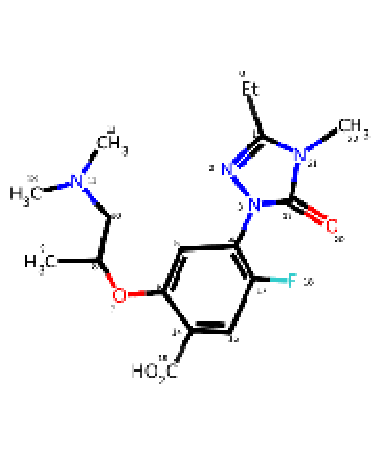 CCc1nn(-c2cc(OC(C)CN(C)C)c(C(=O)O)cc2F)c(=O)n1C